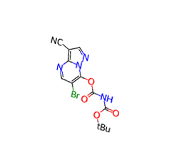 CC(C)(C)OC(=O)NC(=O)Oc1c(Br)cnc2c(C#N)cnn12